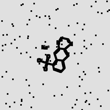 O=S(=O)([O-])c1cccc2cc3nccnc3cc12.[Na+]